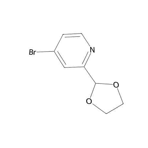 Brc1ccnc(C2OCCO2)c1